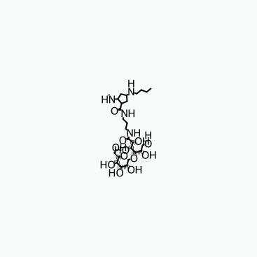 CCCCNC1CC(NC)C(C(=O)NCCCNC(=O)[C@H](O)[C@@H](O)[C@H](OC2O[C@H](CO)[C@H](O)[C@H](O)[C@H]2O)[C@H](O)CO)C1